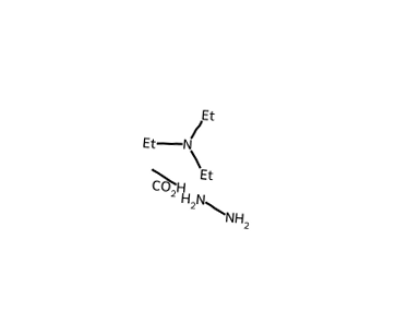 CC(=O)O.CCN(CC)CC.NN